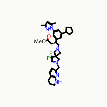 COC(=O)C[C@H](CN1CC2(CN(Cc3ccc4c(n3)NCCC4)CC2(F)F)C1)c1cc(C2CCCC2)cc(-n2nc(C)cc2C)c1